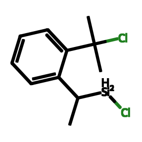 CC([SiH2]Cl)c1ccccc1C(C)(C)Cl